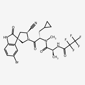 C[C@H](NC(=O)C(F)(F)C(F)(F)F)C(=O)N(C)[C@@H](CC1CC1)C(=O)N1C[C@]2(C[C@H]1C#N)C(=O)Nc1ccc(Br)cc12